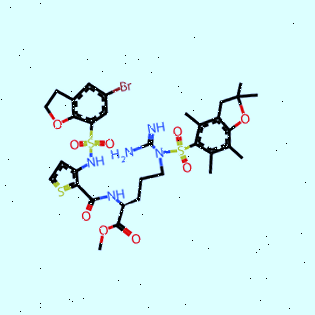 COC(=O)[C@H](CCCN(C(=N)N)S(=O)(=O)c1c(C)c(C)c2c(c1C)CC(C)(C)O2)NC(=O)c1sccc1NS(=O)(=O)c1cc(Br)cc2c1OCC2